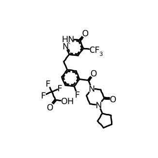 O=C(O)C(F)(F)F.O=C(c1cc(Cc2cc(C(F)(F)F)c(=O)[nH]n2)ccc1F)N1CCN(C2CCCC2)C(=O)C1